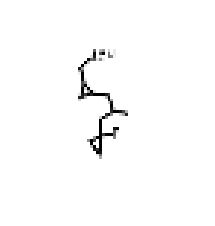 CC(CC1CC1CC(C)(C)C)CC1(F)CC1